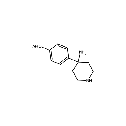 COc1ccc(C2(N)CCNCC2)cc1